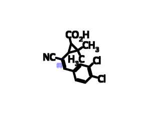 CC1(C)C(C(=O)O)C1/C(C#N)=C\c1ccc(Cl)c(Cl)c1